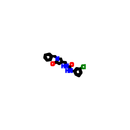 O=C(NCC1CC(=O)N(Cc2ccccc2)C1)Nc1cccc(Cl)c1